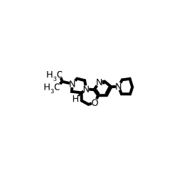 CC(C)N1CCN2c3ncc(N4CCCCC4)cc3OCC[C@@H]2C1